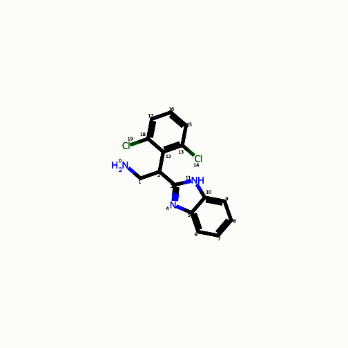 NCC(c1nc2ccccc2[nH]1)c1c(Cl)cccc1Cl